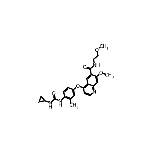 COCCNC(=O)c1cc2c(Oc3ccc(NC(=O)NC4CC4)c(C)c3)ccnc2cc1OC